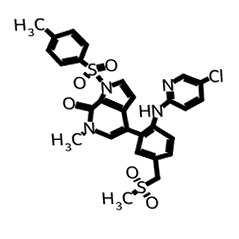 Cc1ccc(S(=O)(=O)n2ccc3c(-c4cc(CS(C)(=O)=O)ccc4Nc4ccc(Cl)cn4)cn(C)c(=O)c32)cc1